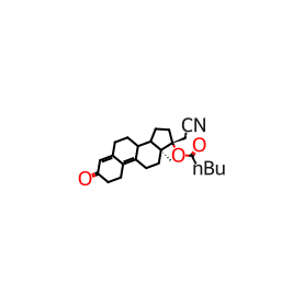 CCCCC(=O)O[C@@]1(CC#N)CCC2C3CCC4=CC(=O)CCC4=C3CC[C@@]21C